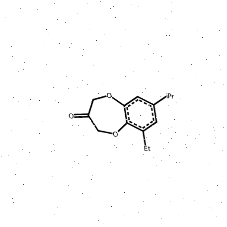 CCc1cc(C(C)C)cc2c1OCC(=O)CO2